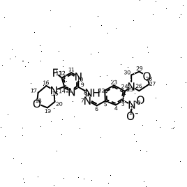 O=[N+]([O-])c1cc(/C=N\Nc2ncc(F)c(N3CCOCC3)n2)ccc1N1CCOCC1